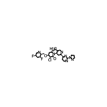 Cc1cnc(-c2ccnc(-n3cccn3)n2)cc1-n1c(C)cc(OCc2ncc(F)cc2F)c(Cl)c1=O